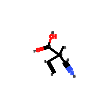 C=CC(C)(C#N)C(=O)O